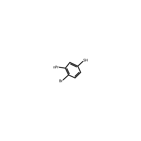 CCCc1cc(S)ccc1Br